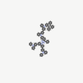 c1ccc(Cc2ccccc2-c2ccc(-n3c4ccccc4c4cc(-c5ccc6c(c5)c5ccccc5n6-c5ccc6c(ccc7c(-c8ccccc8)nc(-n8c9ccc(-c%10ccc%11c(c%10)c%10ccccc%10n%11-c%10ccccc%10)cc9c9cc(-c%10ccc%11c(c%10)c%10ccccc%10n%11-c%10ccccc%10)ccc98)nc76)c5)ccc43)cc2Cc2ccccc2)cc1